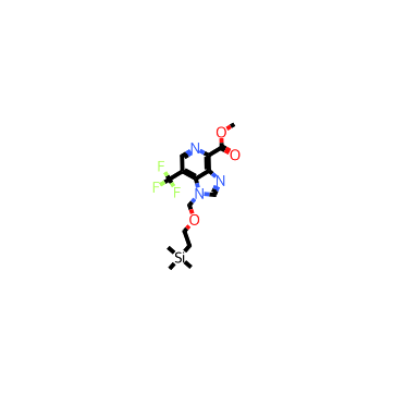 COC(=O)c1ncc(C(F)(F)F)c2c1ncn2COCC[Si](C)(C)C